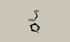 CCC[CH2][SnH].c1ccsc1